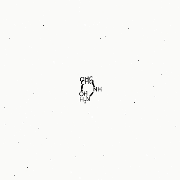 NNC=O.O=CO